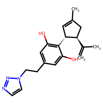 C=C(C)[C@@H]1CC(C)=C[C@H]1c1c(O)cc(CCn2ccnn2)cc1O